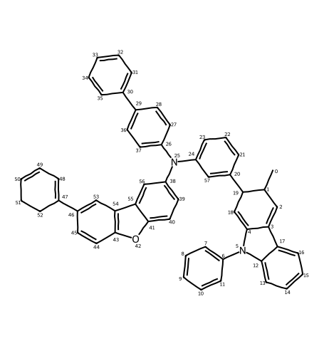 CC1C=c2c(n(-c3ccccc3)c3ccccc23)=CC1c1cccc(N(c2ccc(-c3ccccc3)cc2)c2ccc3oc4ccc(C5=CC=CCC5)cc4c3c2)c1